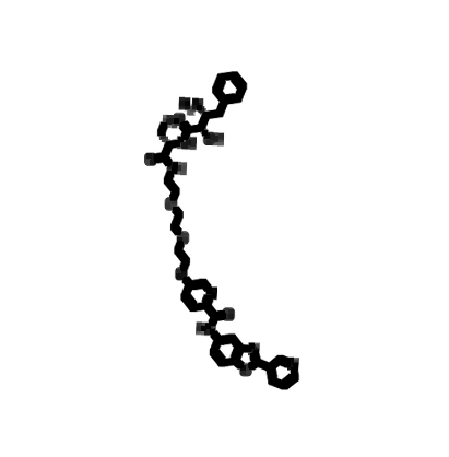 CC(C)C[C@H](NC(=O)[C@@H](O)[C@H](N)Cc1ccccc1)C(=O)NCCOCCOCCOc1ccc(C(=O)Nc2ccc3oc(-c4cccnc4)nc3c2)nc1